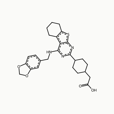 O=C(O)CC1CCC(c2nc(NCc3ccc4c(c3)OCO4)c3c4c(sc3n2)CCCC4)CC1